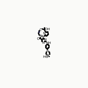 CC1(O)CC/C=C\Cn2c(=O)c3cnc(Nc4ccc(N5CC[N+](C)(O)CC5)cc4)nc3n2-c2cccc1n2